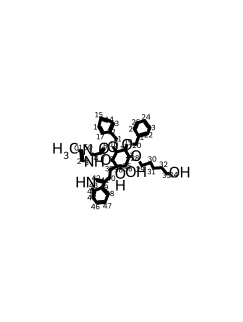 Cc1c[nH]c(C(=O)OC2C(OCc3ccccc3)C(OCc3ccccc3)C(OCCCCCO)C(O)C2(O)CCc2c[nH]c3ccccc23)n1